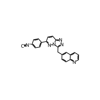 [C-]#[N+]c1ccc(-c2ccc3nnc(Cc4ccc5ncccc5c4)n3n2)cc1